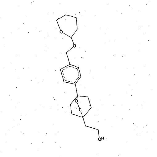 OCCC12CCC(c3ccc(COC4CCCCO4)cc3)(CC1)OC2